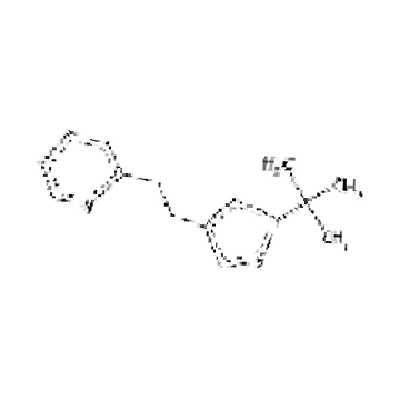 CC(C)(C)c1cc(CCc2ccccn2)cs1